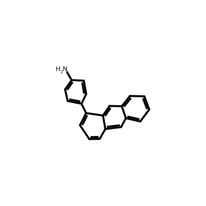 Nc1ccc(-c2cccc3cc4ccccc4cc23)cc1